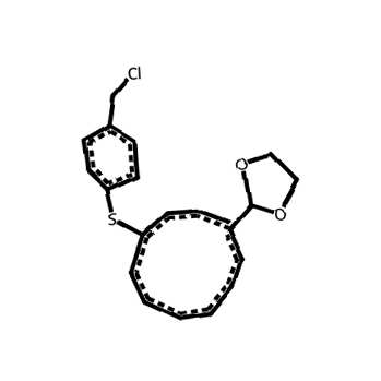 ClCc1ccc(Sc2ccccccc(C3OCCO3)cc2)cc1